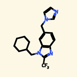 FC(F)(F)c1nc2ccc(Cn3ccnc3)cc2n1CC1CCCCC1